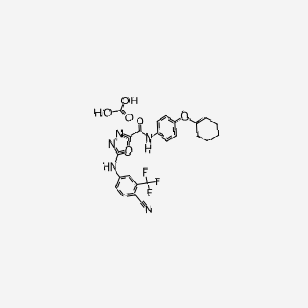 N#Cc1ccc(Nc2nnc(C(=O)Nc3ccc(OC4CCCCC4)cc3)o2)cc1C(F)(F)F.O=C(O)O